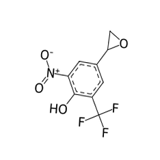 O=[N+]([O-])c1cc(C2CO2)cc(C(F)(F)F)c1O